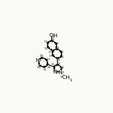 Cn1cc(-c2ccc3cc(O)ccc3c2)c(-c2ccncc2)n1